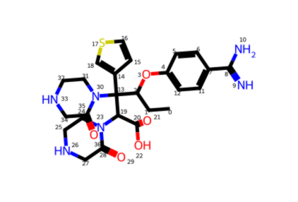 CCC(Oc1ccc(C(=N)N)cc1)C(c1ccsc1)(C(C(=O)O)N1CCNCC1=O)N1CCNCC1=O